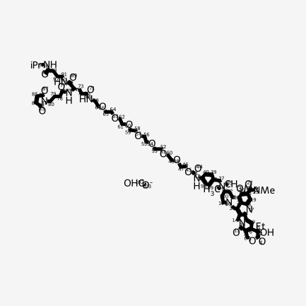 CC[C@@]1(O)C(=O)OCc2c1cc1n(c2=O)Cc2c-1nc1cc(C(=O)NC)c(OC)cc1c2CN1CCC([N+](C)(C)Cc2ccc(NC(=O)OCCOCCOCCOCCOCCOCCOCCOCCNC(=O)CC[C@H](NC(=O)CCCN3C(=O)C=CC3=O)C(=O)NCCCC(=O)NC(C)C)cc2)CC1.O=C[O-]